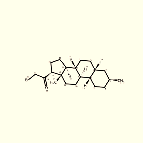 C[C@H]1CC[C@H]2[C@H](CC[C@@H]3[C@@H]2CC[C@]2(C)[C@@H](C(=O)CBr)CC[C@@H]32)C1